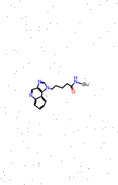 CC(C)(C)NC(=O)CCCCn1cnc2cnc3ccccc3c21